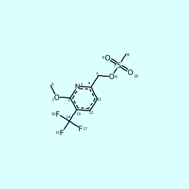 COc1nc(COS(C)(=O)=O)ccc1C(F)(F)F